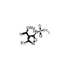 CCc1noc(NS(C)(=O)=O)c1C(=O)OC